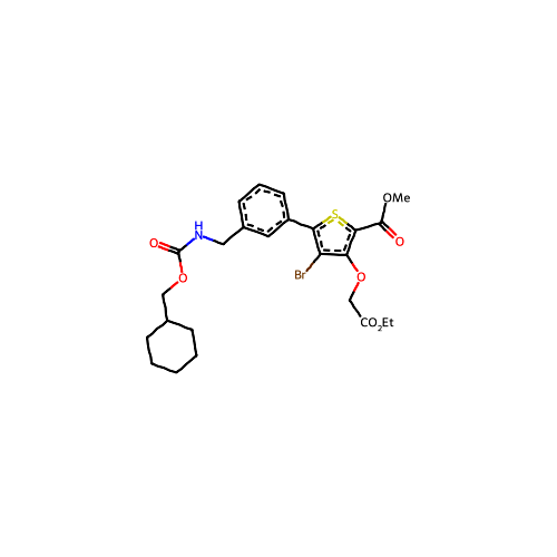 CCOC(=O)COc1c(C(=O)OC)sc(-c2cccc(CNC(=O)OCC3CCCCC3)c2)c1Br